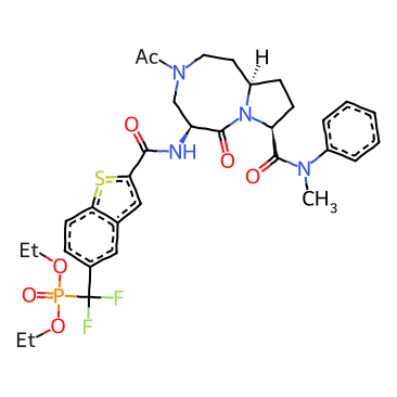 CCOP(=O)(OCC)C(F)(F)c1ccc2sc(C(=O)N[C@H]3CN(C(C)=O)CC[C@H]4CC[C@@H](C(=O)N(C)c5ccccc5)N4C3=O)cc2c1